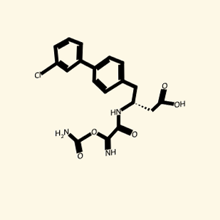 N=C(OC(N)=O)C(=O)N[C@@H](CC(=O)O)Cc1ccc(-c2cccc(Cl)c2)cc1